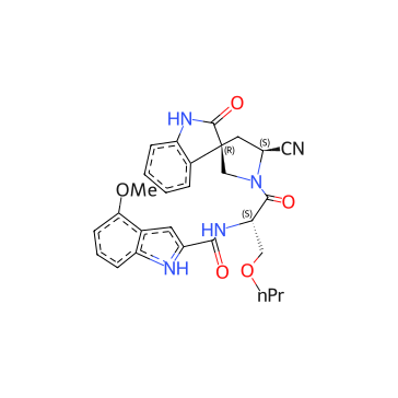 CCCOC[C@H](NC(=O)c1cc2c(OC)cccc2[nH]1)C(=O)N1C[C@]2(C[C@H]1C#N)C(=O)Nc1ccccc12